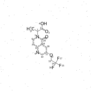 CC(C(=O)O)n1ccc2ncc(OCC(F)(F)F)cc2c1=O